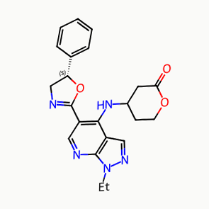 CCn1ncc2c(NC3CCOC(=O)C3)c(C3=NC[C@H](c4ccccc4)O3)cnc21